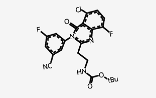 CC(C)(C)OC(=O)NCCc1nc2c(F)ccc(Cl)c2c(=O)n1-c1cc(F)cc(C#N)c1